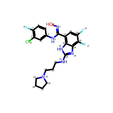 O/N=C(\Nc1ccc(F)c(Cl)c1)c1cc(F)c(F)c2nc(NCCCN3CCCC3)[nH]c12